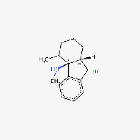 CN[C@]12c3ccccc3C[C@H]1CCCC2C.Cl